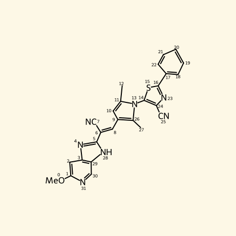 COc1cc2nc(/C(C#N)=C/c3cc(C)n(-c4sc(-c5ccccc5)nc4C#N)c3C)[nH]c2cn1